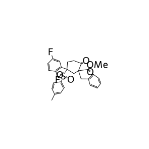 COC(=O)C1(Cc2ccccc2)CC(c2cc(F)ccc2F)(S(=O)(=O)c2ccc(C)cc2)CCC1=O